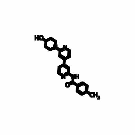 Cc1ccc(C(=O)Nc2cc(-c3ccnc(N4CCC(O)CC4)c3)ccn2)cc1